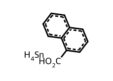 O=C(O)c1cccc2ccccc12.[SnH4]